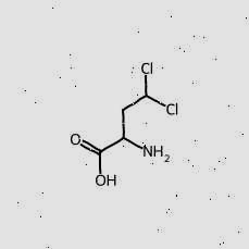 NC(CC(Cl)Cl)C(=O)O